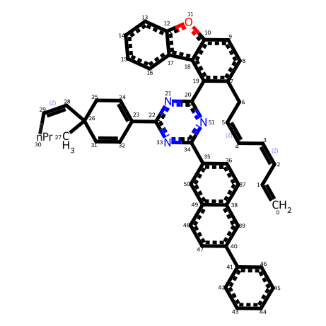 C=C/C=C\C=C/Cc1ccc2oc3ccccc3c2c1-c1nc(C2=CCC(C)(/C=C\CCC)C=C2)nc(-c2ccc3cc(-c4ccccc4)ccc3c2)n1